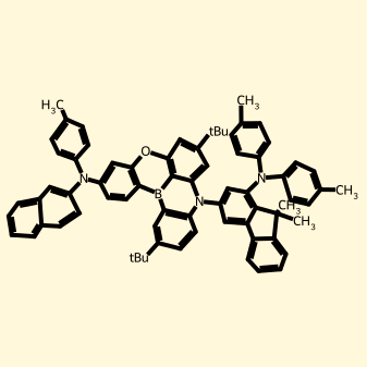 Cc1ccc(N(c2ccc3c(c2)Oc2cc(C(C)(C)C)cc4c2B3c2cc(C(C)(C)C)ccc2N4c2cc3c(c(N(c4ccc(C)cc4)c4ccc(C)cc4)c2)C(C)(C)c2ccccc2-3)c2ccc3ccccc3c2)cc1